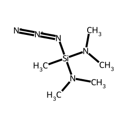 CN(C)[Si](C)(N=[N+]=[N-])N(C)C